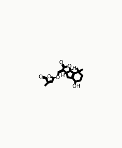 CC1=C[C@H](O/C=C2/C(=O)O[C@@H]3C4=C(C[C@H]23)C(O)CCC4(C)C)OC1=O